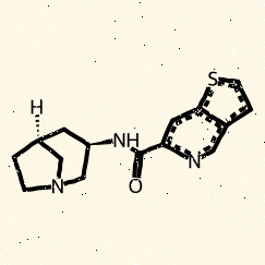 O=C(N[C@@H]1C[C@@H]2CCN(C2)C1)c1cc2sccc2cn1